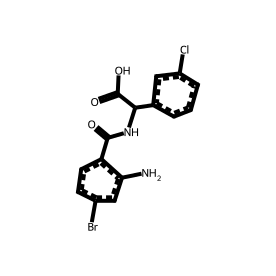 Nc1cc(Br)ccc1C(=O)NC(C(=O)O)c1cccc(Cl)c1